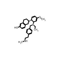 CCN(Cc1ccc(CCNC)cc1)C1C=C(OC)C=CC1[C@@H]1CCc2cc(O)ccc2C1